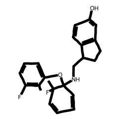 Cc1c(F)cccc1OC1(NCC2CCc3cc(O)ccc32)C=CC=CC1(C)F